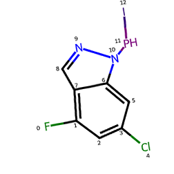 Fc1cc(Cl)cc2c1cnn2PI